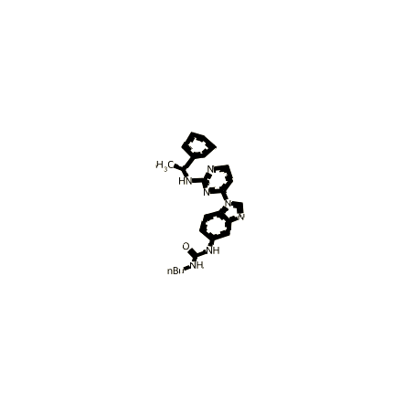 CCCCNC(=O)Nc1ccc2c(c1)ncn2-c1ccnc(NC(C)c2ccccc2)n1